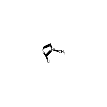 C[n+]1ccsc1Cl